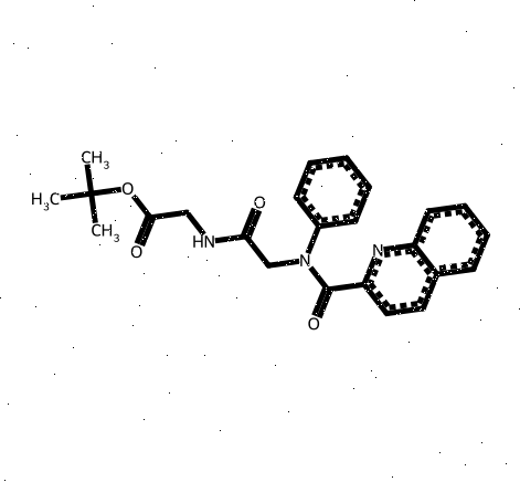 CC(C)(C)OC(=O)CNC(=O)CN(C(=O)c1ccc2ccccc2n1)c1ccccc1